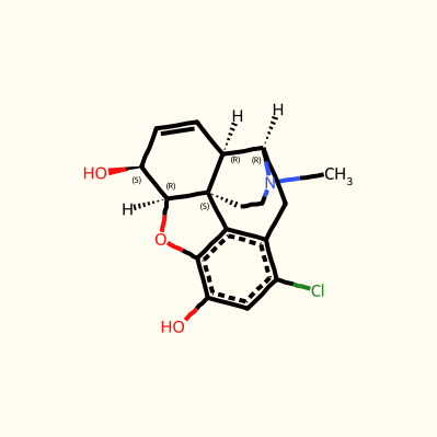 CN1CC[C@]23c4c5c(Cl)cc(O)c4O[C@H]2[C@@H](O)C=C[C@H]3[C@H]1C5